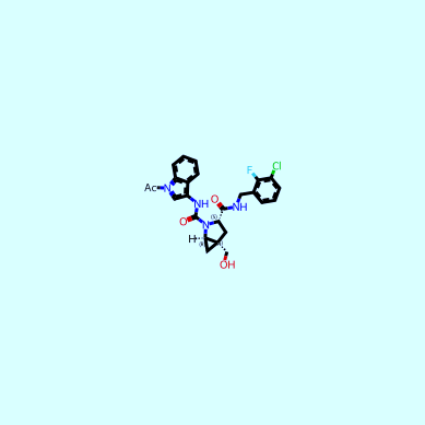 CC(=O)n1cc(NC(=O)N2[C@H](C(=O)NCc3cccc(Cl)c3F)C[C@@]3(CO)C[C@@H]23)c2ccccc21